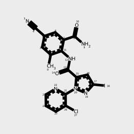 Cc1cc(C#N)cc(C(N)=O)c1NC(=O)c1cc(I)nn1-c1ncccc1Cl